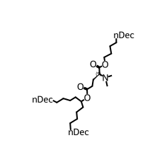 CCCCCCCCCCCCCCOC(=O)[C@H](CCC(=O)OC(CCCCCCCCCCCCCC)CCCCCCCCCCCCCC)N(C)C